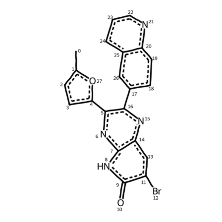 Cc1ccc(-c2nc3[nH]c(=O)c(Br)cc3nc2-c2ccc3ncccc3c2)o1